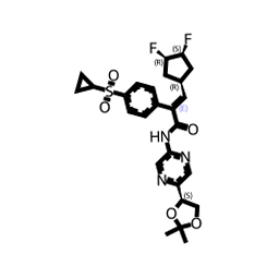 CC1(C)OC[C@H](c2cnc(NC(=O)/C(=C/[C@H]3C[C@@H](F)[C@@H](F)C3)c3ccc(S(=O)(=O)C4CC4)cc3)cn2)O1